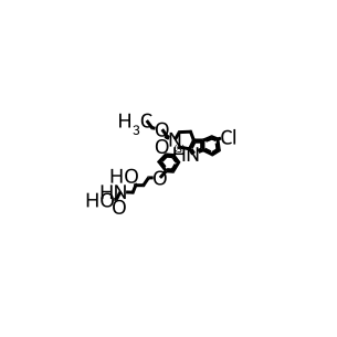 CCOC(=O)N1CCc2c([nH]c3ccc(Cl)cc23)[C@@H]1c1ccc(OCCC(O)CNC(=O)O)cc1